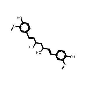 COc1cc(/C=C/C(O)CC(O)/C=C/c2ccc(O)c(OC)c2)ccc1O